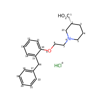 Cl.O=C(O)[C@@H]1CCCN(CCOc2ccccc2Cc2ccccc2)C1